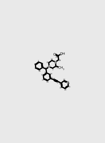 CC1CN(C(c2ccccc2)c2cccc(C#Cc3cccnc3)c2)CCN1CC(=O)O